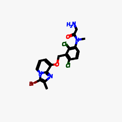 Cc1nc2c(OCc3c(Cl)ccc(N(C)C(=O)CN)c3Cl)cccn2c1Br